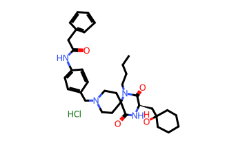 CCCCN1C(=O)[C@@H](CC2(O)CCCCC2)NC(=O)C12CCN(Cc1ccc(NC(=O)Cc3ccccc3)cc1)CC2.Cl